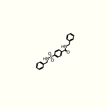 O=C(NCc1ccccc1)c1ccc(S(=O)(=O)NCc2ccccc2)cc1